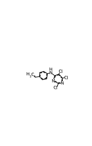 C=Cc1ccc(Nc2nc(Cl)nc(Cl)c2Cl)cc1